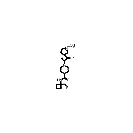 CCC1C(N2CCC(C(=O)NC3(CF)CCC3)CC2)C[C@@]12CCN(C(=O)O)C2